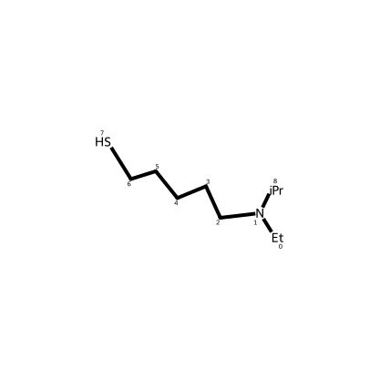 CCN(CCCCCS)C(C)C